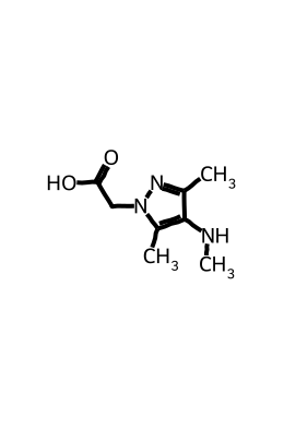 CNc1c(C)nn(CC(=O)O)c1C